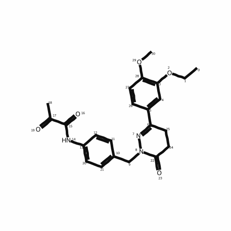 CCOc1cc(C2=NN(Cc3ccc(NC(=O)C(C)=O)cc3)C(=O)CC2)ccc1OC